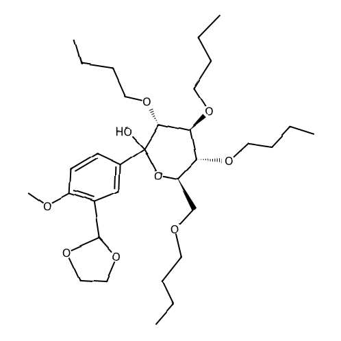 CCCCOC[C@H]1OC(O)(c2ccc(OC)c(C3OCCO3)c2)[C@H](OCCCC)[C@@H](OCCCC)[C@@H]1OCCCC